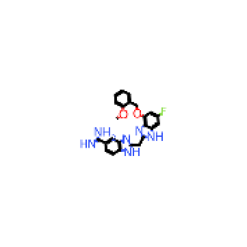 COc1ccccc1COc1cc(F)cc2[nH]c(Cc3nc4cc(C(=N)N)ccc4[nH]3)nc12